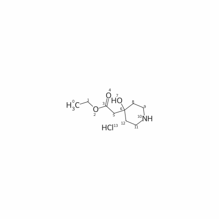 CCOC(=O)CC1(O)CCNCC1.Cl